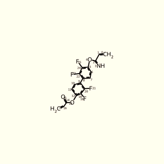 C=CC(=N)Oc1ccc(-c2ccc(OC(=O)C=C)c(F)c2F)c(F)c1F